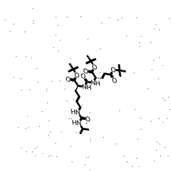 CC(C)NC(=O)NCCCC[C@H](NC(=O)N[C@@H](CCC(=O)OC(C)(C)C)C(=O)OC(C)(C)C)C(=O)OC(C)(C)C